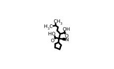 CC(C)CCC(C(=O)O)C(C#N)(C(=O)O)C1CCCC1